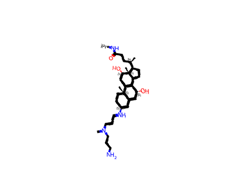 CC(C)NC(=O)CC[C@@H](C)C1CCC2C3C(C[C@H](O)[C@@]21C)[C@@]1(C)CC[C@H](NCCCN(C)CCCN)CC1C[C@H]3O